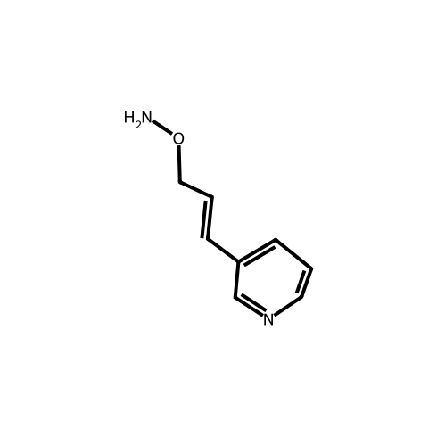 NOCC=Cc1cccnc1